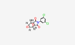 O=C1[C@@H]2[C@@H]3O[C@@H]([C@H]4O[C@H]43)[C@@H]2C(=O)N1c1cc(Cl)cc(Cl)c1